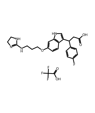 O=C(O)C(F)(F)F.O=C(O)CC(c1ccc(F)cc1)c1c[nH]c2cc(OCCCNC3=NCCN3)ccc12